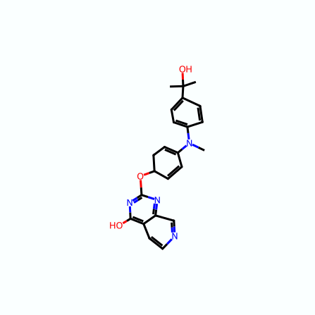 CN(C1=CCC(Oc2nc(O)c3ccncc3n2)C=C1)c1ccc(C(C)(C)O)cc1